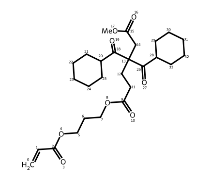 C=CC(=O)OCCCOC(=O)CCC(CC(=O)OC)(C(=O)C1CCCCC1)C(=O)C1CCCCC1